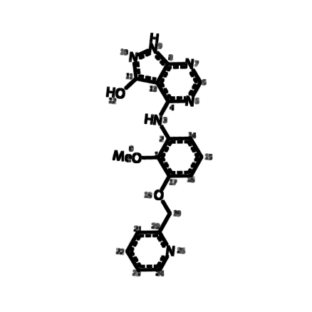 COc1c(Nc2ncnc3[nH]nc(O)c23)cccc1OCc1ccccn1